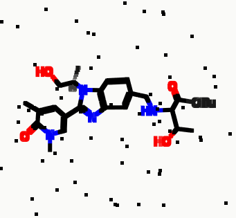 Cc1cc(-c2nc3cc(CNC(C(=O)OCC(C)C)C(C)O)ccc3n2[C@@H](C)CO)cn(C)c1=O